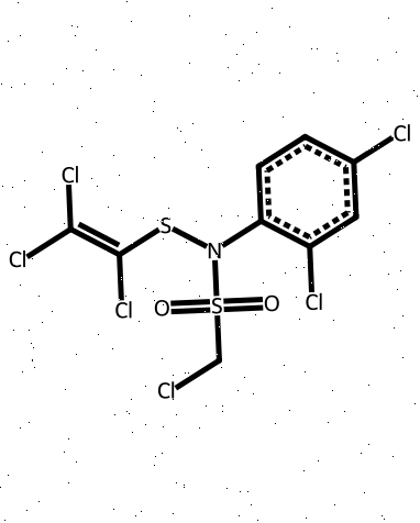 O=S(=O)(CCl)N(SC(Cl)=C(Cl)Cl)c1ccc(Cl)cc1Cl